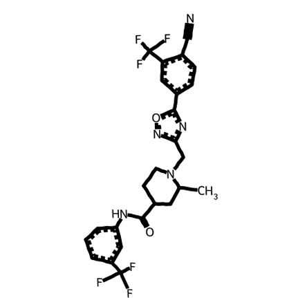 CC1CC(C(=O)Nc2cccc(C(F)(F)F)c2)CCN1Cc1noc(-c2ccc(C#N)c(C(F)(F)F)c2)n1